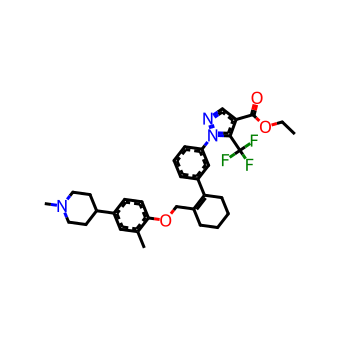 CCOC(=O)c1cnn(-c2cccc(C3=C(COc4ccc(C5CCN(C)CC5)cc4C)CCCC3)c2)c1C(F)(F)F